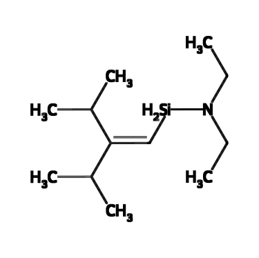 CCN(CC)[SiH2]C=C(C(C)C)C(C)C